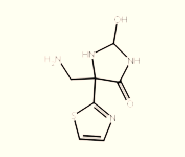 NCC1(c2nccs2)NC(O)NC1=O